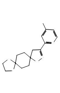 Clc1ccnc(C2=NOC3(CCC4(CC3)OCCO4)C2)c1